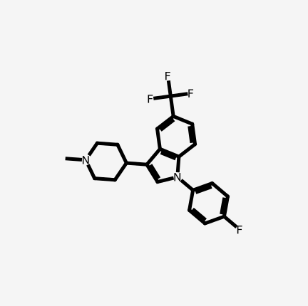 CN1CCC(c2cn(-c3ccc(F)cc3)c3ccc(C(F)(F)F)cc23)CC1